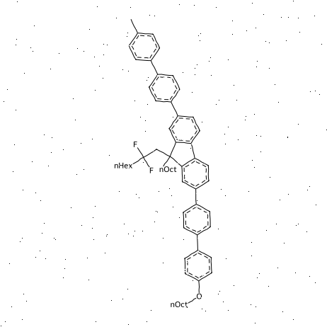 CCCCCCCCOc1ccc(-c2ccc(-c3ccc4c(c3)C(CCCCCCCC)(CC(F)(F)CCCCCC)c3cc(-c5ccc(-c6ccc(C)cc6)cc5)ccc3-4)cc2)cc1